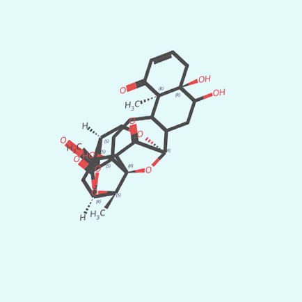 C[C@@]12C[C@H]3OC(=O)[C@@H]1CO[C@]14O[C@]5(C2C1=O)[C@@](O)(CCC1C4CC(O)[C@@]2(O)CC=CC(=O)[C@]12C)C(=O)O[C@@]35C